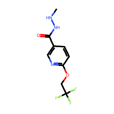 CNNC(=O)c1ccc(OCC(F)(F)F)nc1